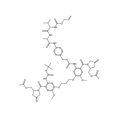 C=CCOC(=O)NC(C(=O)NC(C)C(=O)Nc1ccc(COC(=O)Nc2cc(OCCCOc3cc(NC(=O)OC(C)(C)C)c(C(=O)N4CC(=C)CC4COC(C)=O)cc3OC)c(OC)cc2C(=O)N2CC(=C)CC2COC(C)=O)cc1)C(C)C